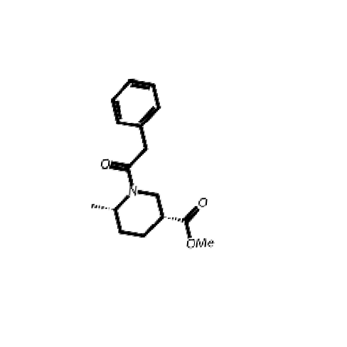 COC(=O)[C@@H]1CC[C@H](C)N(C(=O)Cc2ccccc2)C1